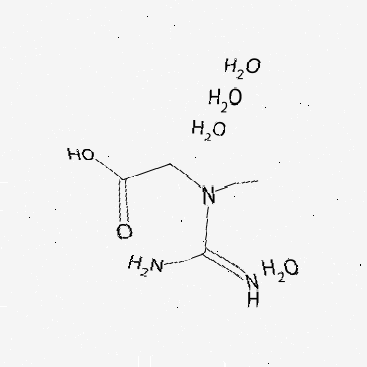 CN(CC(=O)O)C(=N)N.O.O.O.O